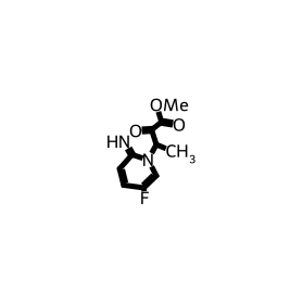 COC(=O)C(=O)C(C)n1cc(F)ccc1=N